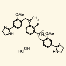 COc1cc(C2=NCCN2)ccc1CN(C)c1cccc(N(C)Cc2ccc(C3=NCCN3)cc2OC)c1F.Cl.Cl